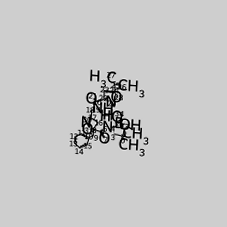 CC(C)C[C@H](NC(=O)C1(Cc2ccccc2)CC(CNC(=O)c2cc(C(C)C)on2)=NO1)B(O)O